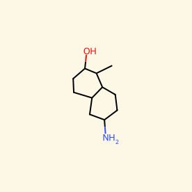 CC1C(O)CCC2CC(N)CCC21